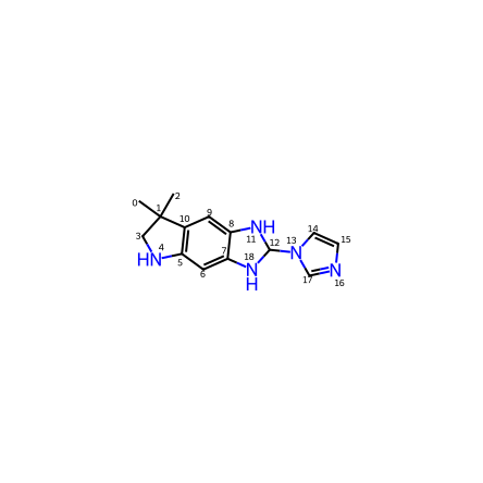 CC1(C)CNc2cc3c(cc21)NC(n1ccnc1)N3